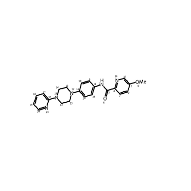 COc1ccc(C(=O)Nc2ccc(N3CCN(c4ccccn4)CC3)cc2)nc1